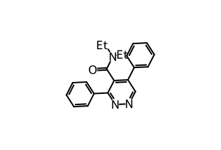 CCN(CC)C(=O)c1c(-c2ccccc2)cnnc1-c1ccccc1